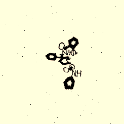 COc1ccccc1C(=O)NCC1(c2ccccc2)CCC(OC(=O)Nc2ccccc2)CC1